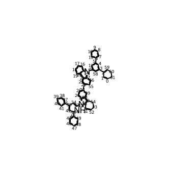 C1=CC(c2cc(-c3ccccc3)cc(-n3c4ccccc4c4cc(-c5ccc6c(c5)c5c(n6C6=CC(c7ccccc7)=CC(c7ccccc7)N6)C=CCC5)ccc43)c2)=CCC1